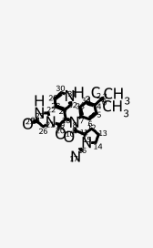 CC(C)(C)c1ccc(N(C(=O)C2CCCN2C#N)C(C(=O)N2CNC(=O)C2)c2cccnc2)cc1